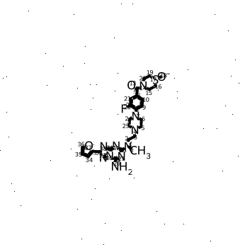 CN(CCN1CCN(c2ccc(C(=O)N3CC[S+]([O-])CC3)cc2F)CC1)c1nc(N)n2nc(-c3ccco3)nc2n1